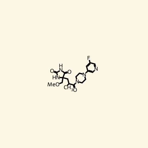 COCC1(CC(C)C(=O)N2CCN(c3cncc(F)c3)CC2)NC(=O)NC1=O